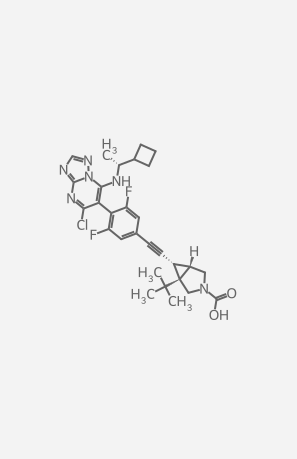 C[C@@H](Nc1c(-c2c(F)cc(C#C[C@@H]3[C@@H]4CN(C(=O)O)C[C@]34C(C)(C)C)cc2F)c(Cl)nc2ncnn12)C1CCC1